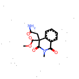 COC(=O)C1(CC(N)=O)C(=O)N(C)C(=O)c2ccccc21